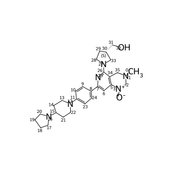 CN1C=[N+]([O-])c2cc(-c3ccc(N4CCC(N5CCCC5)CC4)cc3)nc(N3CC[C@H](CO)C3)c2C1